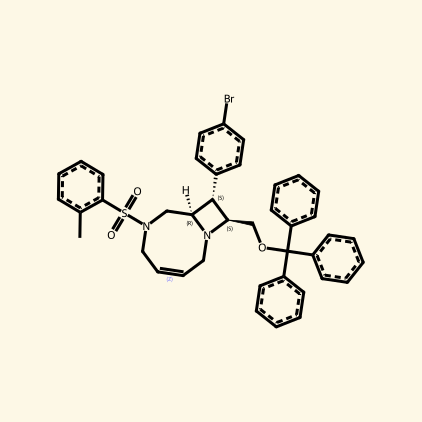 Cc1ccccc1S(=O)(=O)N1C/C=C\CN2[C@H](COC(c3ccccc3)(c3ccccc3)c3ccccc3)[C@@H](c3ccc(Br)cc3)[C@@H]2C1